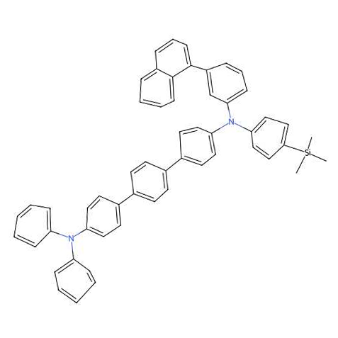 C[Si](C)(C)c1ccc(N(c2ccc(-c3ccc(-c4ccc(N(c5ccccc5)c5ccccc5)cc4)cc3)cc2)c2cccc(-c3cccc4ccccc34)c2)cc1